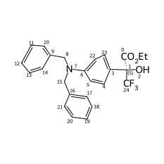 CCOC(=O)[C@@](O)(c1ccc(N(Cc2ccccc2)Cc2ccccc2)cc1)C(F)(F)F